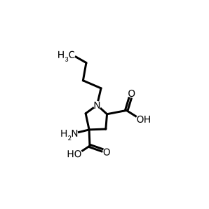 CCCCN1CC(N)(C(=O)O)CC1C(=O)O